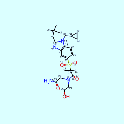 CC(C)(C)Cc1nc2cc(S(=O)(=O)C(C)(C)C(=O)N(CCO)CC(N)=O)ccc2n1CC1CC1